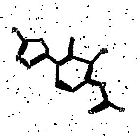 CCC(=O)Oc1ccc(-c2nnc(Br)s2)c(C)c1C(C)(C)C